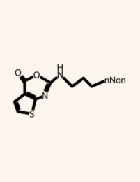 CCCCCCCCCCCCNc1nc2sccc2c(=O)o1